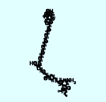 CCCN(OCC)C(=O)C1=Cc2sc(CCC3CCN(C(=O)CCOCCOC(CO)OCCOCCOCCOCCOCCOCCOCCC(=O)Oc4c(F)c(F)c(S(=O)(=O)O)c(F)c4F)CC3)cc2N=C(N)C1